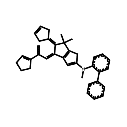 C=C(/C=C1/C2=C(CC(N(C)c3ccccc3-c3ccccc3)=C2)C(C)(C)C1=C1CC=CC1)C1=CCCC1